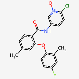 Cc1ccc(C(=O)Nc2ccc(Cl)[n+]([O-])c2)c(Oc2ccc(F)cc2C)c1